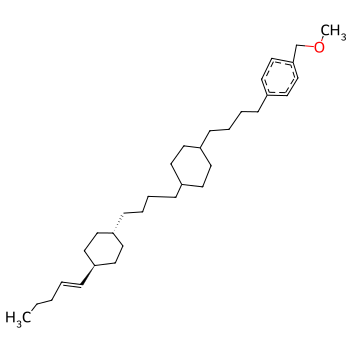 CCC/C=C/[C@H]1CC[C@H](CCCCC2CCC(CCCCc3ccc(COC)cc3)CC2)CC1